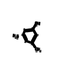 Cc1cccc(O)c1.S